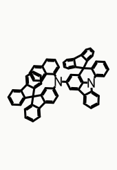 c1ccc2c(c1)-c1ccccc1C21c2ccccc2-c2ccc(N(c3cc4c5c(c3)c3ccccc3n5-c3ccccc3C43c4ccccc4-c4ccccc43)c3cccc4ccccc34)cc21